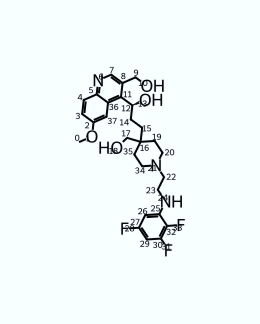 COc1ccc2ncc(CO)c([C@@H](O)CCC3(CO)CCN(CCNc4cc(F)cc(F)c4F)CC3)c2c1